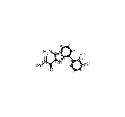 CCCNC(=O)c1nc2c(-c3cccc(Cl)c3F)cccn2c1N